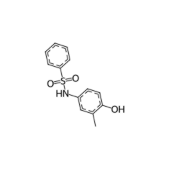 Cc1cc(NS(=O)(=O)c2ccccc2)ccc1O